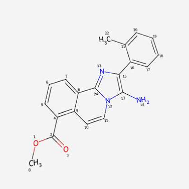 COC(=O)c1cccc2c1ccn1c(N)c(-c3ccccc3C)nc21